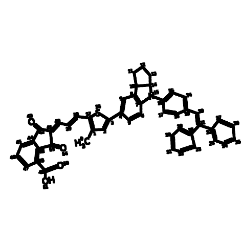 Cc1cc(-c2ccc3c(c2)C2CCCC2N3c2ccc(C=C(c3ccccc3)c3ccccc3)cc2)sc1/C=C/C=C1/C(=O)c2cccc(C(=O)O)c2C1=O